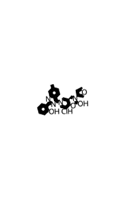 Cc1ccc2c(N3CCC[C@H](CN(C(=O)O)[C@@H]4CCOC4)C3)nc(-c3ccccc3O)nc2c1.Cl